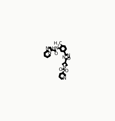 Cc1ccc(-c2noc(C3CN(S(=O)(=O)c4cccnc4)C3)n2)cc1NC(=O)c1cnc2ccccn12